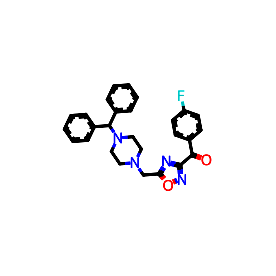 O=C(c1ccc(F)cc1)c1noc(CN2CCN(C(c3ccccc3)c3ccccc3)CC2)n1